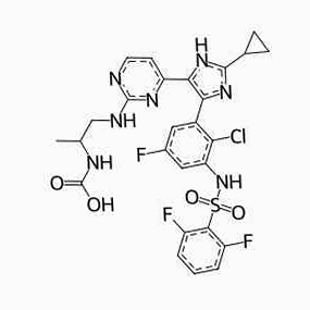 CC(CNc1nccc(-c2[nH]c(C3CC3)nc2-c2cc(F)cc(NS(=O)(=O)c3c(F)cccc3F)c2Cl)n1)NC(=O)O